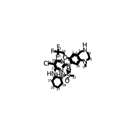 CN1CCNCc2cc(OCC(F)(F)F)c(Nc3ncc(Cl)c(N[C@@H]4CCCC[C@H]4NS(C)(=O)=O)n3)cc21